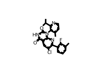 Cc1cccc(-c2nc3c(cc2Cl)c(=O)[nH]c(=O)n3-c2c(C)ccnc2C(C)C)c1F